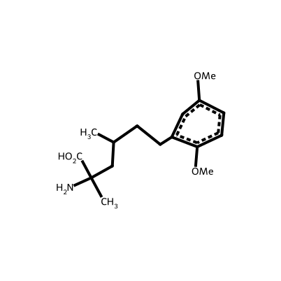 COc1ccc(OC)c(CCC(C)CC(C)(N)C(=O)O)c1